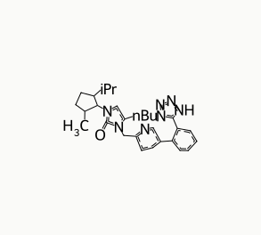 CCCCc1cn(C2C(C)CCC2C(C)C)c(=O)n1Cc1ccc(-c2ccccc2-c2nnn[nH]2)cn1